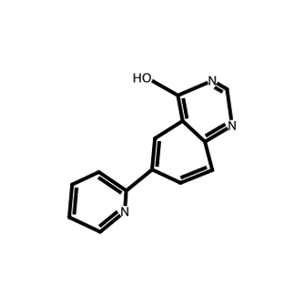 Oc1ncnc2ccc(-c3ccccn3)cc12